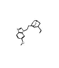 CCC1CC2CCC1N(CCn1cnc3ccc(OC)cc31)C2